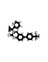 O=C1Oc2ccc(-c3ccc(C(F)(F)F)cc3)cc2CN1C1(c2ccccn2)CC1